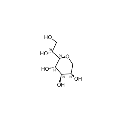 OC[C@@H](O)[C@H]1OC[C@@H](O)[C@@H](O)[C@@H]1O